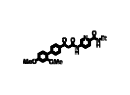 CCNC(=O)c1ccc(NC(=O)CC(=O)c2ccc(-c3ccc(OC)cc3OC)cc2)cn1